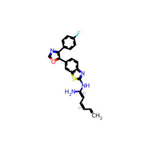 C=C/C=C\C=C(/N)Nc1nc2ccc(-c3ocnc3-c3ccc(F)cc3)cc2s1